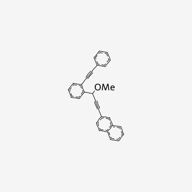 COC(C#Cc1ccc2ccccc2c1)c1ccccc1C#Cc1ccccc1